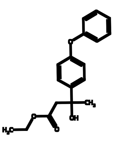 CCOC(=O)CC(C)(O)c1ccc(Oc2ccccc2)cc1